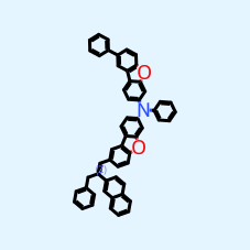 C(=C(\Cc1ccccc1)c1ccc2ccccc2c1)/c1ccc2oc3cc(N(c4ccccc4)c4ccc5c(c4)oc4ccc(-c6ccccc6)cc45)ccc3c2c1